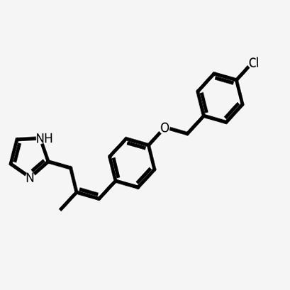 CC(=Cc1ccc(OCc2ccc(Cl)cc2)cc1)Cc1ncc[nH]1